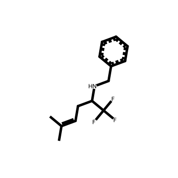 CC(C)=CCC(NCc1ccccc1)C(F)(F)F